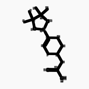 CC1(C)OB(C2=CCC(CC(=O)O)CC2)OC1(C)C